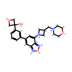 OC1(c2cccc(-c3cc(N4CC(CN5CCOCC5)C4)c4nonc4c3)c2)COC1